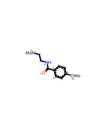 CNCCNC(=O)c1ccc(OC)cc1